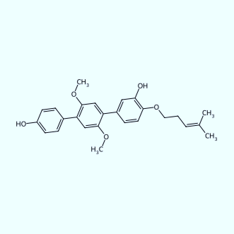 COc1cc(-c2ccc(OCCC=C(C)C)c(O)c2)c(OC)cc1-c1ccc(O)cc1